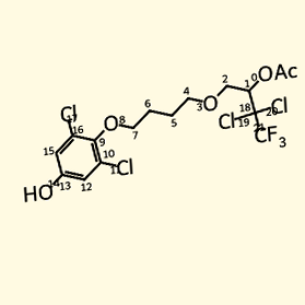 CC(=O)OC(COCCCCOc1c(Cl)cc(O)cc1Cl)C(Cl)(Cl)C(F)(F)F